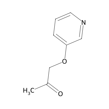 CC(=O)COc1cccnc1